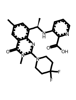 Cc1cc([C@@H](C)Nc2cccnc2C(=O)O)c2nc(N3CCC(F)(F)CC3)n(C)c(=O)c2c1